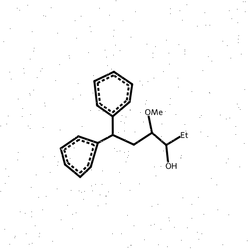 CCC(O)C(CC(c1ccccc1)c1ccccc1)OC